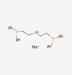 CC(C)P(CC[N-]CCP(C(C)C)C(C)C)C(C)C.[Na+]